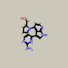 Nc1nccc(-c2c[nH]c3nccc(N4CCCC4CO)c23)n1